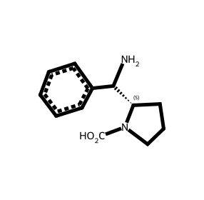 NC(c1ccccc1)[C@@H]1CCCN1C(=O)O